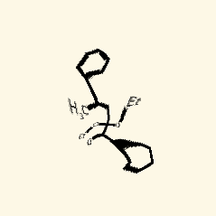 CCOC(CC(C)c1ccccc1)(OCC)C(=O)C1CCCCC1